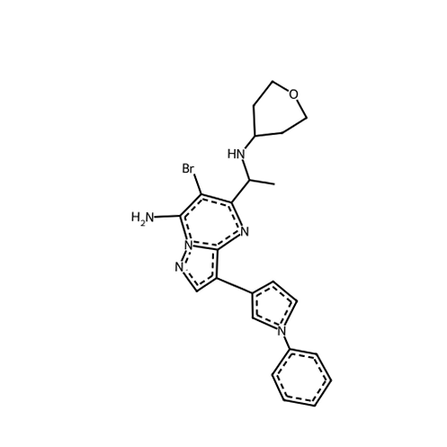 CC(NC1CCOCC1)c1nc2c(-c3ccn(-c4ccccc4)c3)cnn2c(N)c1Br